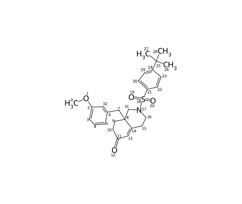 COc1cccc(CC23CCC(=O)C=C2CCN(S(=O)(=O)c2ccc(C(C)(C)C)cc2)C3)c1